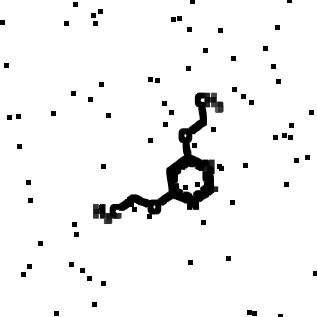 CCOc1cc(OCC)n[c]n1